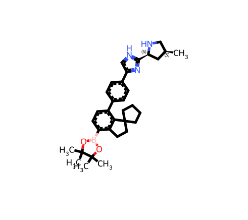 C[C@@H]1CN[C@H](c2nc(-c3ccc(-c4ccc(B5OC(C)(C)C(C)(C)O5)c5c4C4(CCCC4)CC5)cc3)c[nH]2)C1